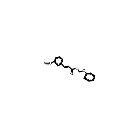 COc1cccc(/C=C/C(=O)OCOc2ccccc2)c1